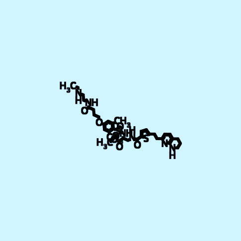 CCNCCNC(=O)CCCOc1cc(C)c(S(=O)(=O)NC(CNC(=O)c2ccc(CCc3ccc4c(n3)NCCC4)s2)C(=O)OC)c(C)c1